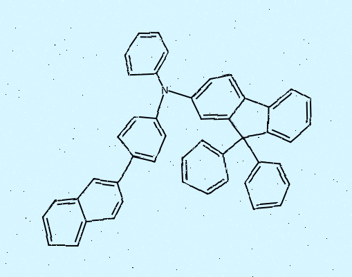 c1ccc(N(c2ccc(-c3ccc4ccccc4c3)cc2)c2ccc3c(c2)C(c2ccccc2)(c2ccccc2)c2ccccc2-3)cc1